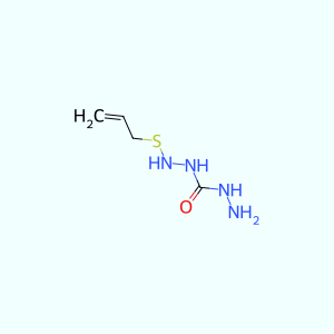 C=CCSNNC(=O)NN